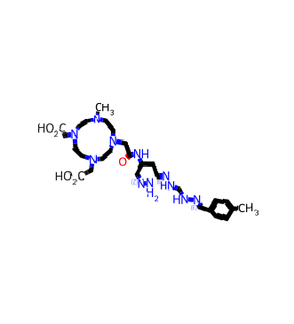 Cc1ccc(/C=N/NCN/N=C/CC(/C=N\N)NC(=O)CN2CCN(C)CCN(CC(=O)O)CCN(CC(=O)O)CC2)cc1